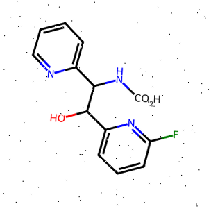 O=C(O)NC(c1ccccn1)C(O)c1cccc(F)n1